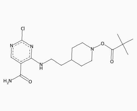 CC(C)(C)C(=O)ON1CCC(CCNc2nc(Cl)ncc2C(N)=O)CC1